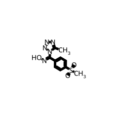 Cc1nnnn1C(=NO)c1ccc(S(C)(=O)=O)cc1